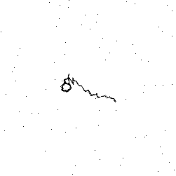 CCCCCCCCCCCCn1c(C)cc2ccccc21